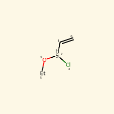 C=C[SiH](Cl)OCC